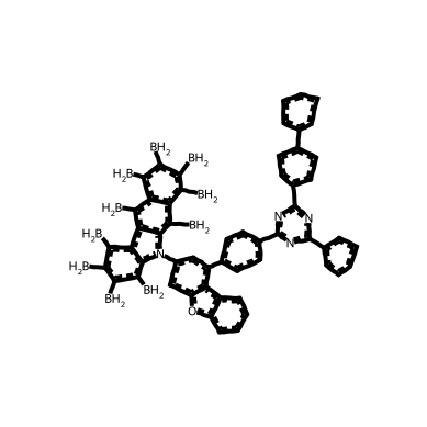 Bc1c(B)c(B)c2c(B)c3c(c(B)c2c1B)c1c(B)c(B)c(B)c(B)c1n3-c1cc(-c2ccc(-c3nc(-c4ccccc4)nc(-c4ccc(-c5ccccc5)cc4)n3)cc2)c2c(c1)oc1ccccc12